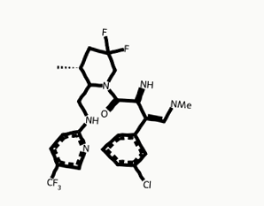 CN/C=C(\C(=N)C(=O)N1CC(F)(F)C[C@@H](C)C1CNc1ccc(C(F)(F)F)cn1)c1cccc(Cl)c1